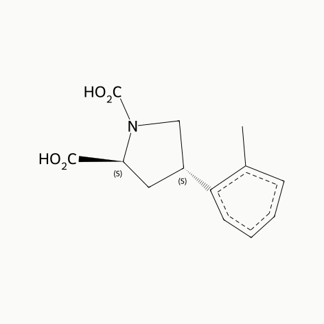 Cc1ccccc1[C@@H]1C[C@@H](C(=O)O)N(C(=O)O)C1